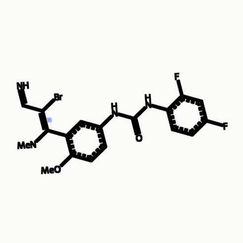 CN/C(=C(/Br)C=N)c1cc(NC(=O)Nc2ccc(F)cc2F)ccc1OC